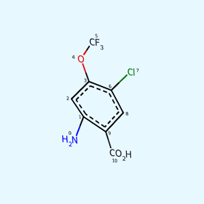 Nc1cc(OC(F)(F)F)c(Cl)cc1C(=O)O